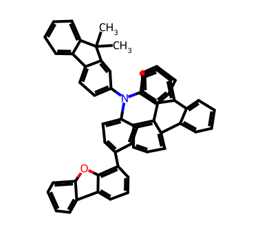 CC1(C)c2ccccc2-c2ccc(N(c3ccc(-c4cccc5c4oc4ccccc45)cc3)c3ccccc3-c3ccccc3-c3ccccc3-c3ccccc3)cc21